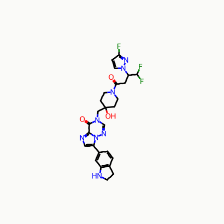 O=C(CC(C(F)F)n1ccc(F)n1)N1CCC(O)(Cn2cnn3c(-c4ccc5c(c4)NCC5)cnc3c2=O)CC1